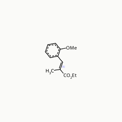 CCOC(=O)/C(C)=C/c1ccccc1OC